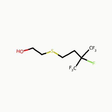 OCCSCCC(F)(C(F)(F)F)C(F)(F)F